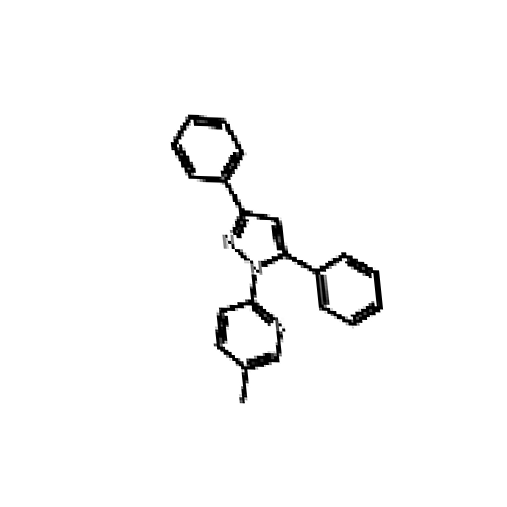 Cc1ccc(-n2nc(-c3ccccc3)cc2-c2ccccc2)nc1